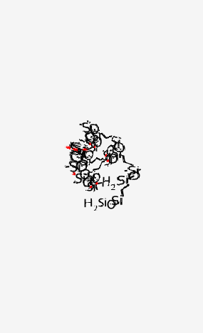 C[SiH2]O[Si](C)(C)CCC[SiH2]O[Si](C)(C)CCC[Si](O[Si](C)(C)CCC[Si](O[Si](C)(C)C)(O[Si](C)(C)C)O[Si](C)(C)C)(O[Si](C)(C)CCC[Si](O[Si](C)(C)C)(O[Si](C)(C)C)O[Si](C)(C)C)O[Si](C)(C)CCC[Si](O[Si](C)(C)C)(O[Si](C)(C)C)O[Si](C)(C)C